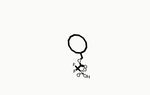 O=C(OCC1CCCCCCCCCCC1)C(F)(F)S(=O)(=O)O